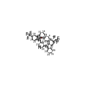 N#Cc1ccccc1-c1c(-n2c3ccccc3c3cc(C(F)(F)F)ccc32)cncc1-n1c2ccccc2c2cc(C(F)(F)F)ccc21